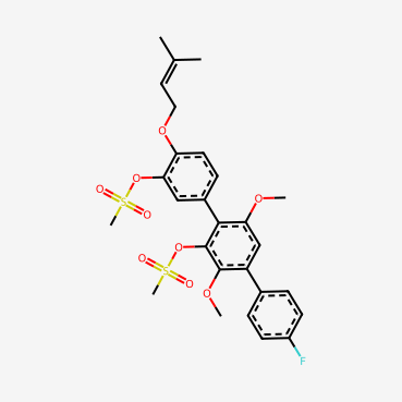 COc1cc(-c2ccc(F)cc2)c(OC)c(OS(C)(=O)=O)c1-c1ccc(OCC=C(C)C)c(OS(C)(=O)=O)c1